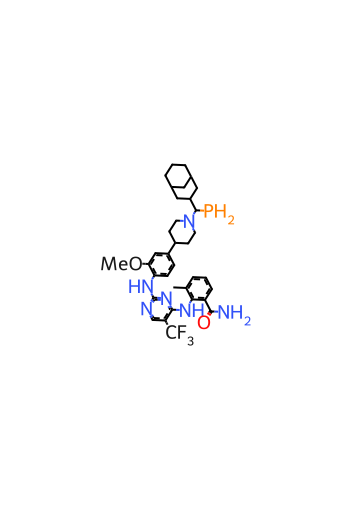 COc1cc(C2CCN(C(P)C3CC4CCCC(C4)C3)CC2)ccc1Nc1ncc(C(F)(F)F)c(Nc2c(C)cccc2C(N)=O)n1